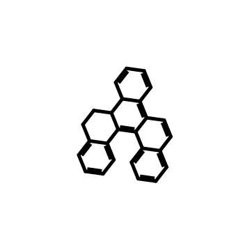 C1=CC2=c3ccc4ccccc4c3=C3c4ccccc4CCC3C2C=C1